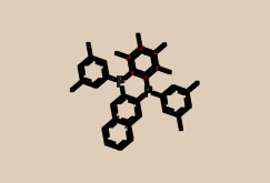 Cc1cc(C)cc(P(c2cc(C)cc(C)c2)c2cc3ccccc3cc2P(c2cc(C)cc(C)c2)c2cc(C)cc(C)c2)c1